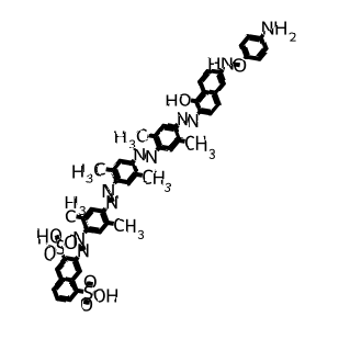 Cc1cc(N=Nc2cc(C)c(N=Nc3ccc4cc(NOc5ccc(N)cc5)ccc4c3O)cc2C)c(C)cc1N=Nc1cc(C)c(N=Nc2cc3c(S(=O)(=O)O)cccc3cc2S(=O)(=O)O)cc1C